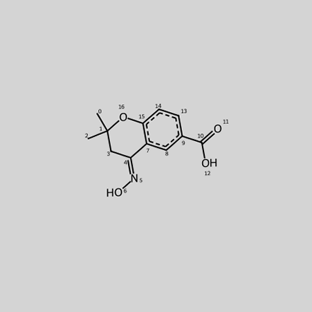 CC1(C)CC(=NO)c2cc(C(=O)O)ccc2O1